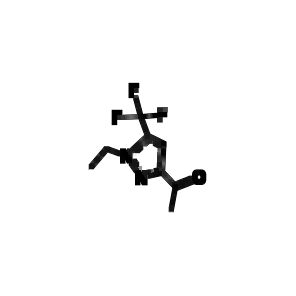 CCn1nc(C(C)=O)cc1C(F)(F)F